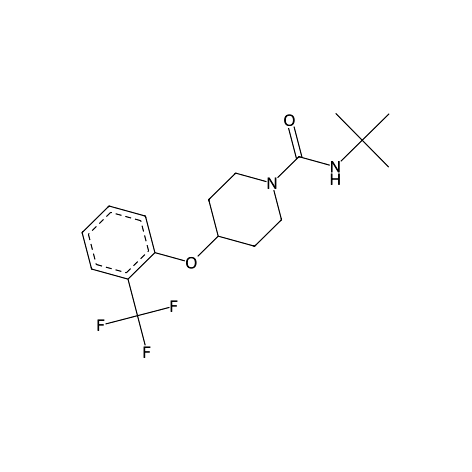 CC(C)(C)NC(=O)N1CCC(Oc2ccccc2C(F)(F)F)CC1